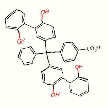 O=C(O)c1ccc(C(c2ccccc2)(c2ccc(O)c(-c3ccccc3O)c2)c2ccc(O)c(-c3ccccc3O)c2)cc1